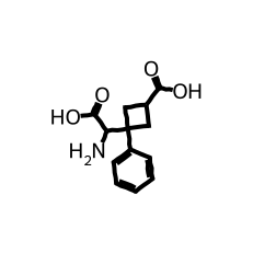 NC(C(=O)O)C1(c2ccccc2)CC(C(=O)O)C1